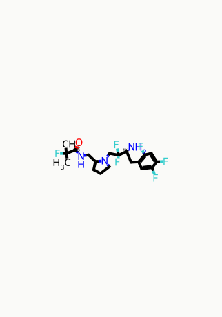 CC(C)(F)C(=O)NCC1CCCN1CC(F)(F)[C@H](N)Cc1cc(F)c(F)cc1F